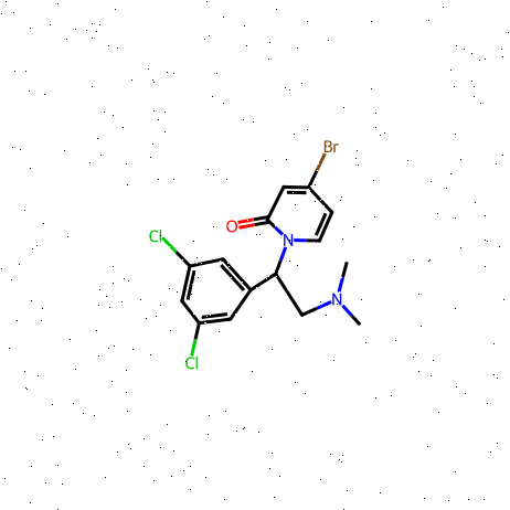 CN(C)CC(c1cc(Cl)cc(Cl)c1)n1ccc(Br)cc1=O